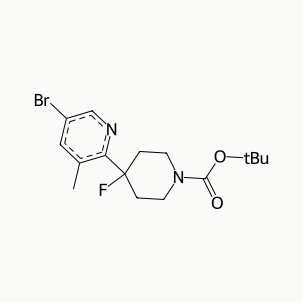 Cc1cc(Br)cnc1C1(F)CCN(C(=O)OC(C)(C)C)CC1